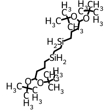 CC(C)(C)OC(CCC[SiH2]CC[SiH2]CCCC(OC(C)(C)C)OC(C)(C)C)OC(C)(C)C